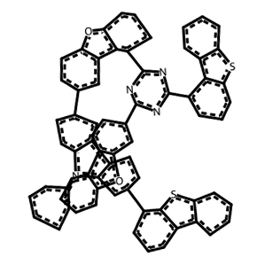 c1ccc(-n2c3ccc(-c4ccc5oc6cccc(-c7nc(-c8ccc9c(c8)oc8ccccc89)nc(-c8cccc9sc%10ccccc%10c89)n7)c6c5c4)cc3c3ccc(-c4cccc5c4sc4ccccc45)cc32)cc1